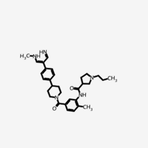 CCCN1CCC(C(=O)Nc2cc(C(=O)N3CCC(c4ccc(/C(C=N)=C/NC)cc4)CC3)ccc2C)C1